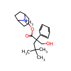 CN1C2CCC1CC(OC(=O)C(CO)(CC(C)(C)C)c1ccccc1)C2